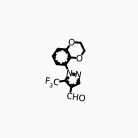 O=Cc1cnn(-c2cccc3c2OCCO3)c1C(F)(F)F